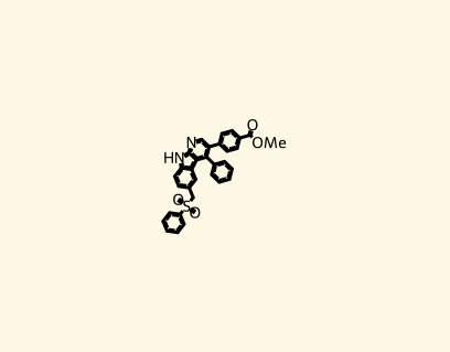 COC(=O)c1ccc(-c2cnc3[nH]c4ccc(CS(=O)(=O)c5ccccc5)cc4c3c2-c2ccccc2)cc1